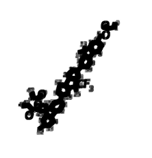 C=CC(=O)OCc1ccc2c(c1)C(C)(C)c1cc(-c3ccc4c(c3)C(C)(C(F)(F)F)c3cc(-c5ccc6c(c5)C(COC(=O)C=C)(COC(=O)C=C)c5cc(C)ccc5-6)ccc3-4)ccc1-2